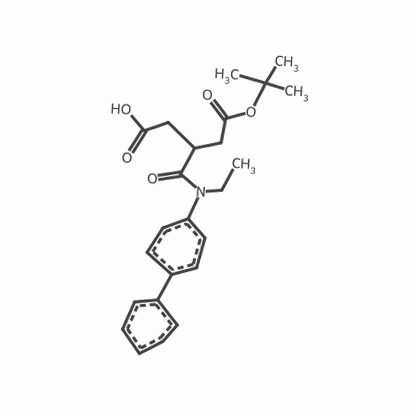 CCN(C(=O)C(CC(=O)O)CC(=O)OC(C)(C)C)c1ccc(-c2ccccc2)cc1